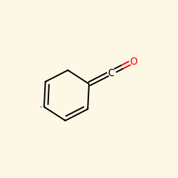 O=C=C1C=C[C]=CC1